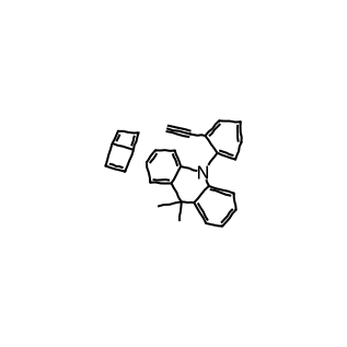 C#Cc1ccccc1N1c2ccccc2C(C)(C)c2ccccc21.c1cc2ccc1-2